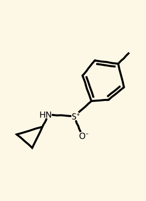 Cc1ccc([S+]([O-])NC2CC2)cc1